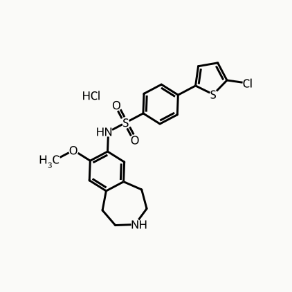 COc1cc2c(cc1NS(=O)(=O)c1ccc(-c3ccc(Cl)s3)cc1)CCNCC2.Cl